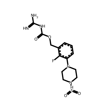 N=C(N)NC(=O)OCc1cccc(N2CCN([SH](=O)=O)CC2)c1F